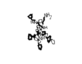 NCCCC[C@H](NC(=O)[C@@H]1C[C@@H](OCc2ccc(Cl)cc2)CN1C(=O)[C@@H](CCc1ccccc1)NC(=O)OCc1ccccc1)C(=O)C(=O)NCCc1ccccc1